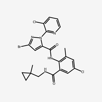 Cc1cc(Cl)cc(C(=O)NCC2(C)CC2)c1NC(=O)c1cc(Br)nn1-c1ncccc1Cl